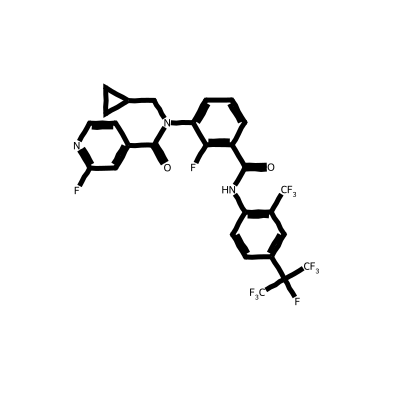 O=C(Nc1ccc(C(F)(C(F)(F)F)C(F)(F)F)cc1C(F)(F)F)c1cccc(N(CC2CC2)C(=O)c2ccnc(F)c2)c1F